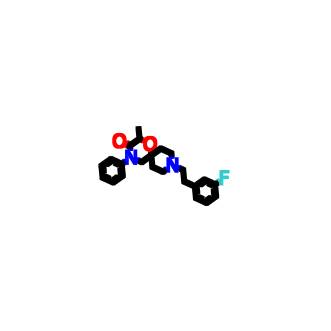 CC1OC2(CCN(CCc3cccc(F)c3)CC2)CN(c2ccccc2)C1=O